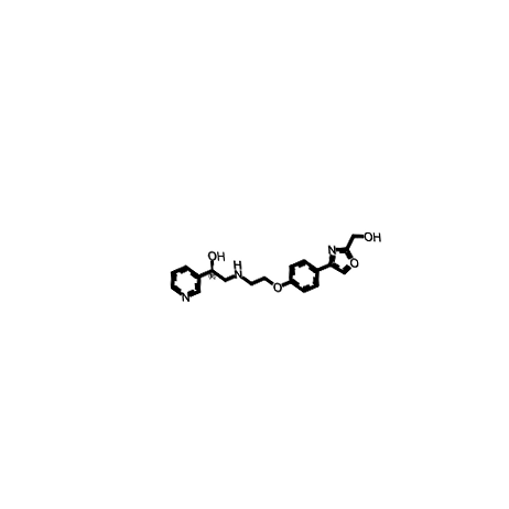 OCc1nc(-c2ccc(OCCNC[C@H](O)c3cccnc3)cc2)co1